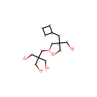 OCC(CO)(CO)COCC(CO)(CO)CC1CCC1